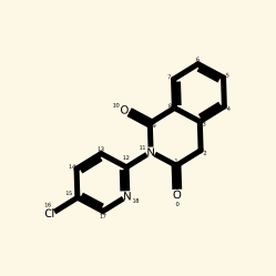 O=C1Cc2ccccc2C(=O)N1c1ccc(Cl)cn1